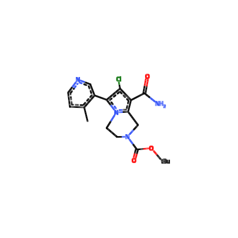 Cc1ccncc1-c1c(Cl)c(C(N)=O)c2n1CCN(C(=O)OC(C)(C)C)C2